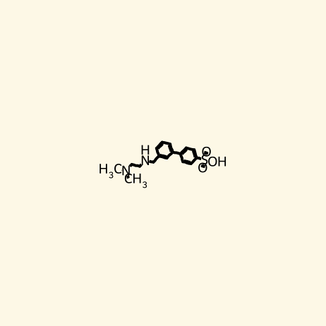 CN(C)CCNCc1cccc(-c2ccc(S(=O)(=O)O)cc2)c1